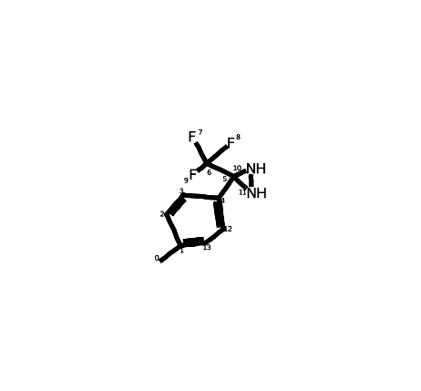 Cc1ccc(C2(C(F)(F)F)NN2)cc1